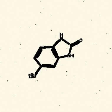 CC(C)(C)c1ccc2[nH]c(=O)[nH]c2c1